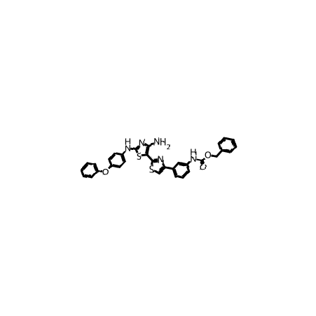 Nc1nc(Nc2ccc(Oc3ccccc3)cc2)sc1-c1nc(-c2cccc(NC(=O)OCc3ccccc3)c2)cs1